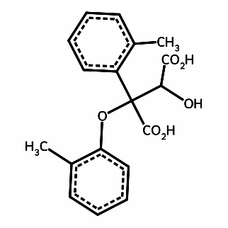 Cc1ccccc1OC(C(=O)O)(c1ccccc1C)C(O)C(=O)O